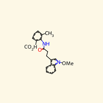 COn1cc(CCC(=O)Nc2c(C)cccc2C(=O)O)c2ccccc21